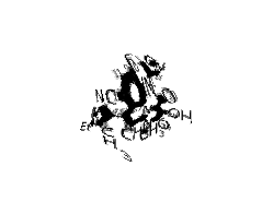 CCn1ncc([C@H](c2ccc(F)cc2C#N)[C@@H](C)c2nc(C(=O)Nc3cnoc3)c(O)c(=O)n2C)c1C